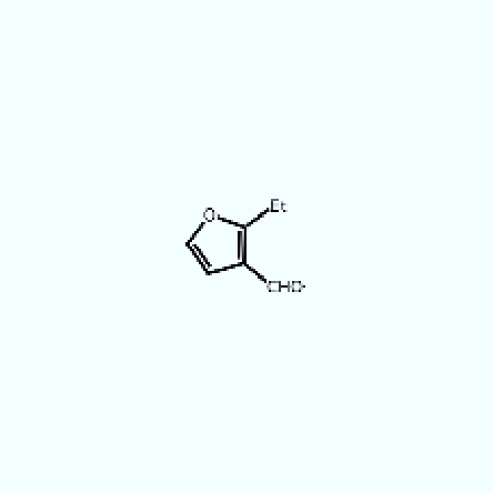 CCc1occc1[C]=O